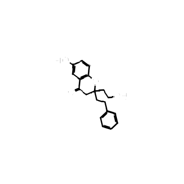 O=C1CC(CCO)(CCc2ccccc2)Oc2ccc(O)cc21